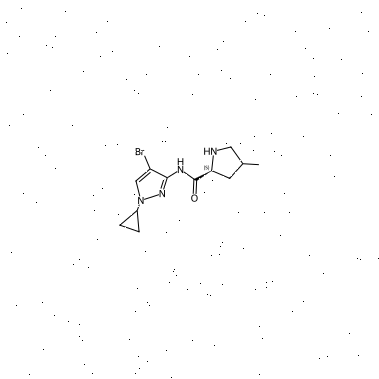 CC1CN[C@H](C(=O)Nc2nn(C3CC3)cc2Br)C1